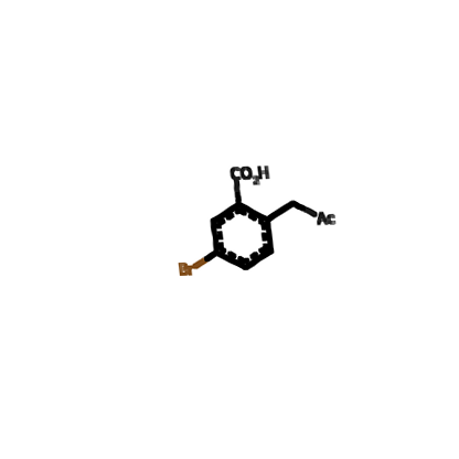 CC(=O)Cc1ccc(Br)cc1C(=O)O